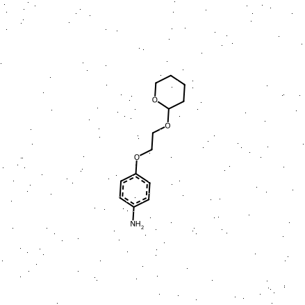 Nc1ccc(OCCOC2CCCCO2)cc1